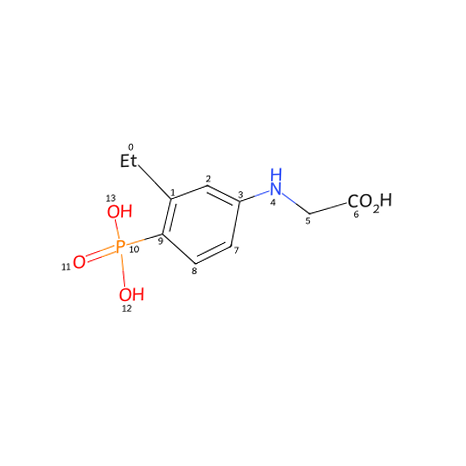 CCc1cc(NCC(=O)O)ccc1P(=O)(O)O